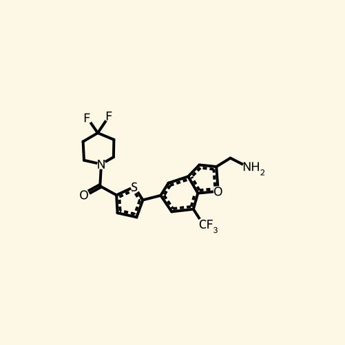 NCc1cc2cc(-c3ccc(C(=O)N4CCC(F)(F)CC4)s3)cc(C(F)(F)F)c2o1